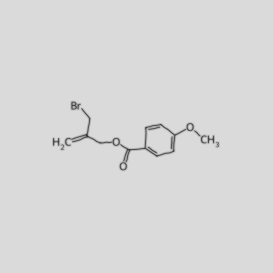 C=C(CBr)COC(=O)c1ccc(OC)cc1